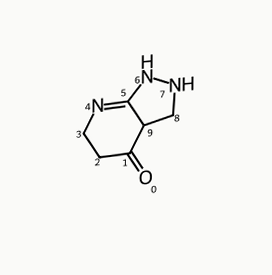 O=C1CCN=C2NNCC12